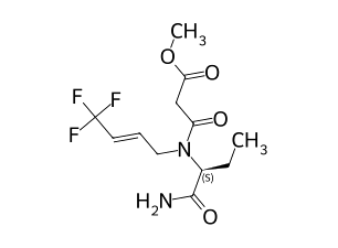 CC[C@@H](C(N)=O)N(CC=CC(F)(F)F)C(=O)CC(=O)OC